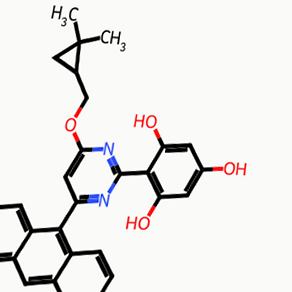 CC1(C)CC1COc1cc(-c2c3ccccc3cc3ccccc23)nc(-c2c(O)cc(O)cc2O)n1